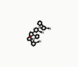 N#Cc1ccc2c(c1)c1ccccc1n2-c1ccc(-c2ccccc2-c2ccccc2-n2c3ccccc3c3cccc(C#N)c32)cc1C#N